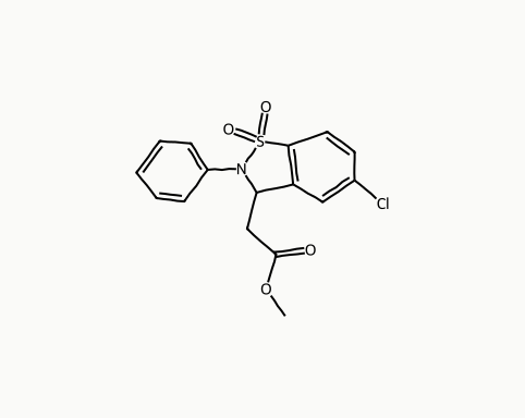 COC(=O)CC1c2cc(Cl)ccc2S(=O)(=O)N1c1ccccc1